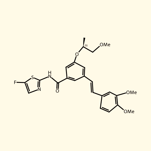 COC[C@H](C)Oc1cc(C=Cc2ccc(OC)c(OC)c2)cc(C(=O)Nc2ncc(F)s2)c1